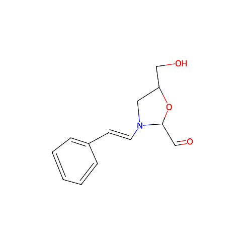 O=CC1OC(CO)CN1C=Cc1ccccc1